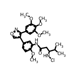 COc1ccc(-c2conc2-c2cc(OC)c(OC)c(OC)c2)cc1NC(=O)CC(NCl)C(C)C